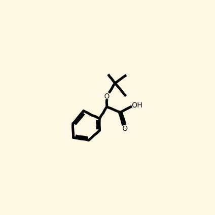 CC(C)(C)OC(C(=O)O)c1ccccc1